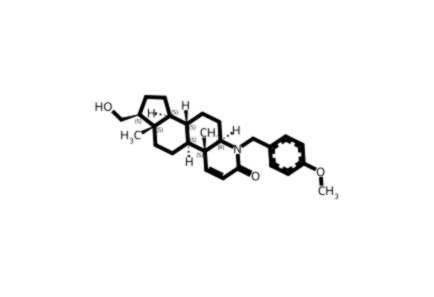 COc1ccc(CN2C(=O)C=C[C@]3(C)[C@H]4CC[C@]5(C)[C@@H](CO)CC[C@H]5[C@@H]4CC[C@@H]23)cc1